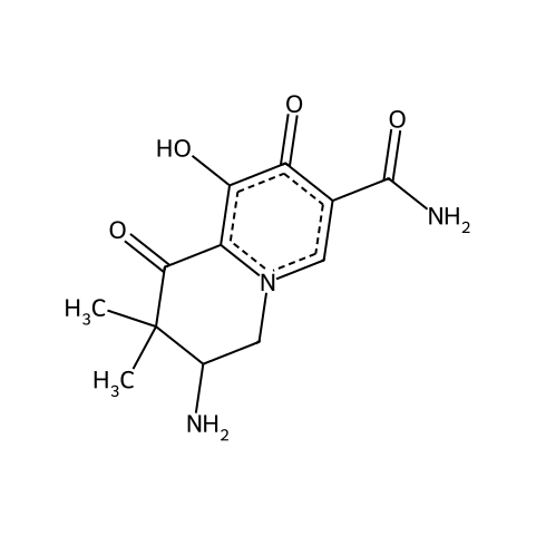 CC1(C)C(=O)c2c(O)c(=O)c(C(N)=O)cn2CC1N